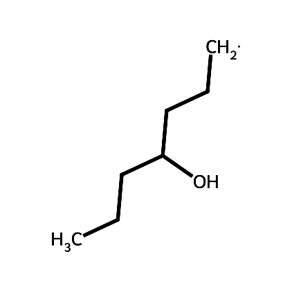 [CH2]CCC(O)CCC